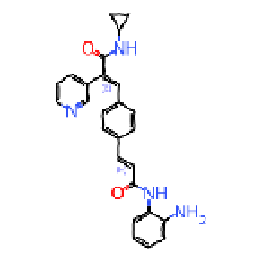 Nc1ccccc1NC(=O)/C=C/c1ccc(/C=C(/C(=O)NC2CC2)c2cccnc2)cc1